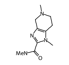 CNC(=O)c1nc2c(n1C)CCN(C)C2